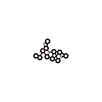 c1ccc(-c2cccc3ccccc23)c(-c2ccccc2N(c2ccc3sc4ccccc4c3c2)c2cccc3c2-c2ccccc2C32c3ccccc3-n3c4ccccc4c4cccc2c43)c1